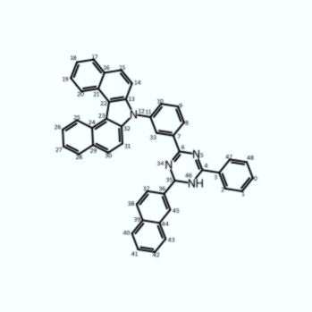 c1ccc(C2=NC(c3cccc(-n4c5ccc6ccccc6c5c5c6ccccc6ccc54)c3)=NC(c3ccc4ccccc4c3)N2)cc1